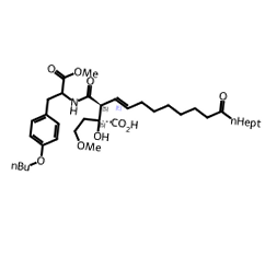 CCCCCCCC(=O)CCCCCC/C=C/[C@H](C(=O)NC(Cc1ccc(OCCCC)cc1)C(=O)OC)[C@@](O)(CCOC)C(=O)O